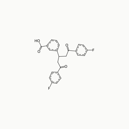 O=C(O)c1cccc(C(CC(=O)c2ccc(F)cc2)CC(=O)c2ccc(F)cc2)c1